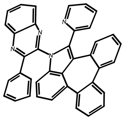 c1ccc(-c2nc3ccccc3nc2-n2c(-c3ccccn3)c3c4c(cccc42)-c2ccccc2-c2ccccc2-3)cc1